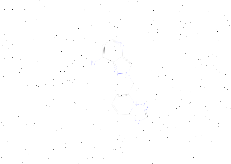 Nc1ccnc2cn(Cc3cccc4ncnn34)nc12